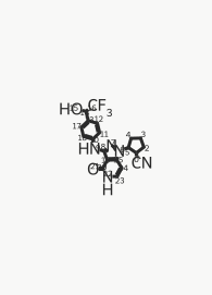 N#CC1CCCC1n1nc(Nc2ccc(C(O)C(F)(F)F)cc2)c2c(=O)[nH]ccc21